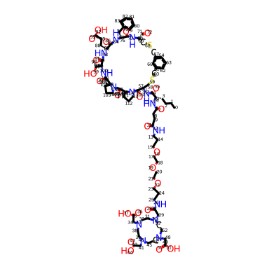 CCCC[C@H](NC(=O)CCC(=O)NCCCOCCOCCOCCCNC(=O)CN1CCN(CC(=O)O)CCN(CC(=O)O)CCN(CC(=O)O)CC1)C(=O)N[C@H]1CSCc2cccc(c2)CSC[C@@H](C=O)NC(=O)[C@H](Cc2ccccc2)NC(=O)[C@H](CCC(=O)O)NC(=O)[C@H]([C@@H](C)O)NC(=O)[C@@H]2CCCN2C(=O)[C@@H]2CCCN2C1=O